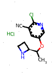 CC(Oc1cnc(Cl)c(C#N)c1)[C@@H]1CCN1.Cl